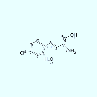 NC(/C=C/c1ccc(Cl)cc1)=NO.O